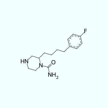 NC(=O)N1CCNCC1CCCCc1ccc(F)cc1